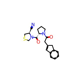 N#C[C@@H]1CSCN1C(=O)[C@@H]1CCCN1C(=O)CC1=Cc2ccccc2C1